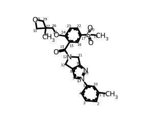 Cc1cccc(-n2cc3c(n2)CN(C(=O)c2cc(S(C)(=O)=O)ccc2OCC2(C)COC2)C3)c1